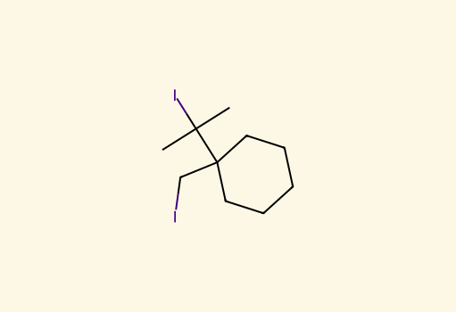 CC(C)(I)C1(CI)CCCCC1